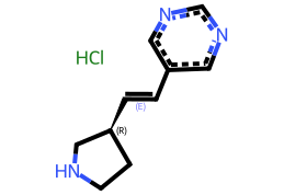 C(=C\[C@H]1CCNC1)/c1cncnc1.Cl